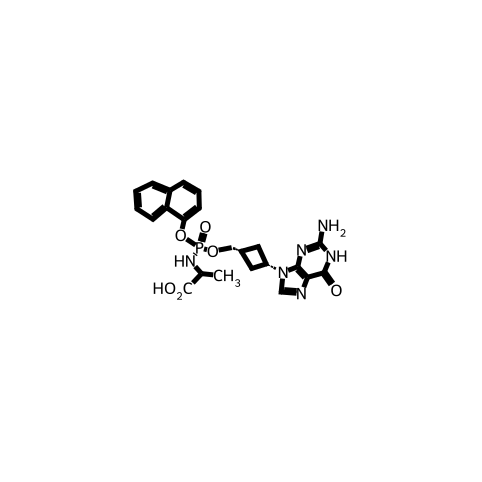 CC(NP(=O)(OC[C@H]1C[C@@H](n2cnc3c(=O)[nH]c(N)nc32)C1)Oc1cccc2ccccc12)C(=O)O